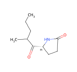 CCCC(C)C(=O)[C@H]1CCC(=O)N1